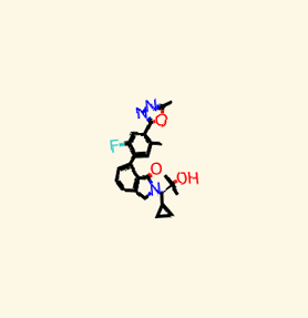 Cc1nnc(-c2cc(F)c(-c3cccc4c3C(=O)N([C@H](C3CC3)C(C)(C)O)C4)cc2C)o1